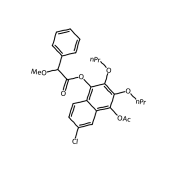 CCCOc1c(OCCC)c(OC(=O)C(OC)c2ccccc2)c2ccc(Cl)cc2c1OC(C)=O